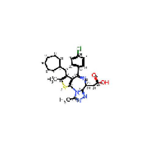 Cc1sc2c(c1CC1CCCCCC1)C(c1ccc(Cl)cc1)=N[C@@H](CC(=O)O)c1nnc(C)n1-2